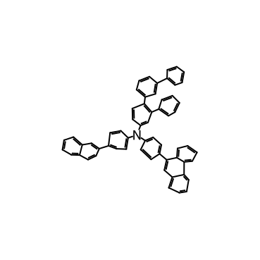 c1ccc(-c2cccc(-c3ccc(N(c4ccc(-c5ccc6ccccc6c5)cc4)c4ccc(-c5cc6ccccc6c6ccccc56)cc4)cc3-c3ccccc3)c2)cc1